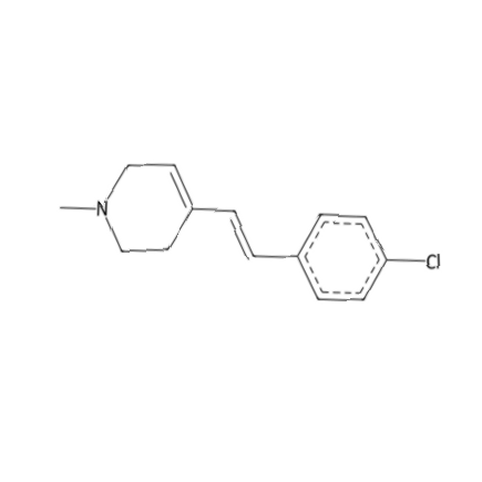 CN1CC=C(/C=C/c2ccc(Cl)cc2)CC1